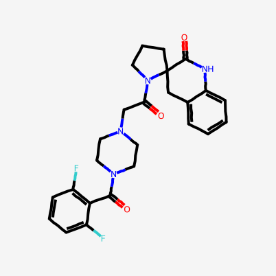 O=C(c1c(F)cccc1F)N1CCN(CC(=O)N2CCCC23Cc2ccccc2NC3=O)CC1